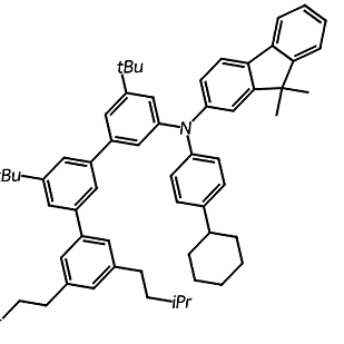 CC(C)CCc1cc(CCC(C)C)cc(-c2cc(-c3cc(N(c4ccc(C5CCCCC5)cc4)c4ccc5c(c4)C(C)(C)c4ccccc4-5)cc(C(C)(C)C)c3)cc(C(C)(C)C)c2)c1